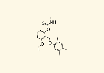 CCOc1cccc(OC(=S)NC)c1COc1cc(C)c(C)cc1C